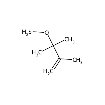 C=C(C)C(C)(C)O[SiH3]